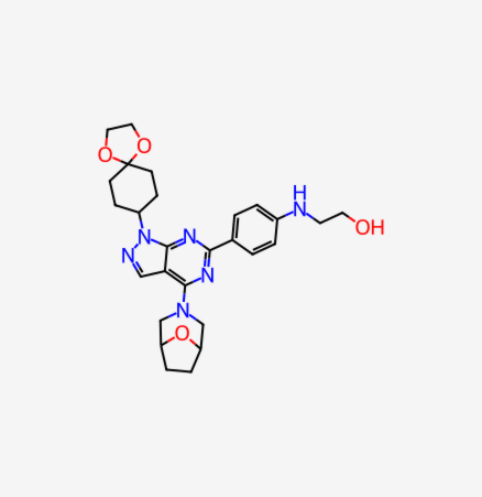 OCCNc1ccc(-c2nc(N3CC4CCC(C3)O4)c3cnn(C4CCC5(CC4)OCCO5)c3n2)cc1